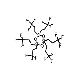 FC(F)(F)CC[Si]1(CCC(F)(F)F)O[Si](CCC(F)(F)F)(CCC(F)(F)F)O[Si](CCC(F)(F)F)(CCC(F)(F)F)O1